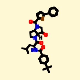 CC(C)C[C@H](NC(=O)c1ccc(C(C)(C)C)cc1)C(=O)N1CCC2[C@H]1C(=O)CN2C(=O)c1ccc(-c2ccccc2)s1